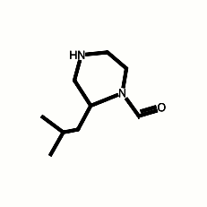 CC(C)CC1CNCCN1[C]=O